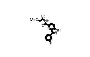 CCC(COC)NC(=O)c1ccc2[nH]nc(-c3cccc(F)c3)c2n1